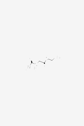 CC(C)(C)CNC(=O)CNC(N)=O